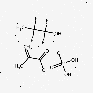 C=C(C)C(=O)O.CC(F)(F)C(O)(F)F.O=P(O)(O)O